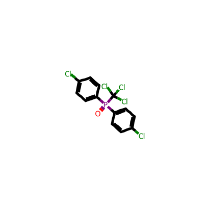 O=P(c1ccc(Cl)cc1)(c1ccc(Cl)cc1)C(Cl)(Cl)Cl